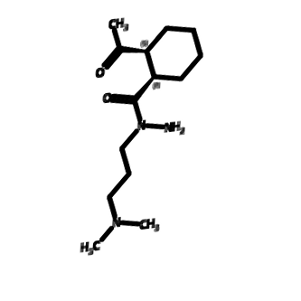 CC(=O)[C@H]1CCCC[C@H]1C(=O)N(N)CCCN(C)C